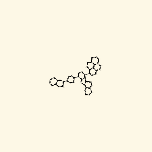 c1ccc2cc(-c3ccc(-c4ccc(-c5ccc6ccc7cccc8ccc5c6c78)c5c4oc4c6ccccc6ccc45)cc3)ccc2c1